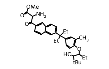 CCC(Oc1ccc(C(CC)(CC)c2ccc3cc(C(=O)C(N)C(=O)OC)ccc3c2)cc1C)C(O)C(C)(C)C